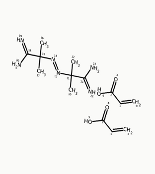 C=CC(=O)O.C=CC(=O)O.CC(C)(N=NC(C)(C)C(=N)N)C(=N)N